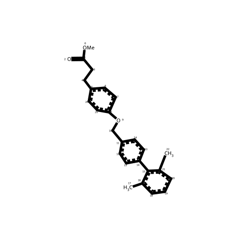 COC(=O)CCc1ccc(OCc2ccc(-c3c(C)cccc3C)cc2)cc1